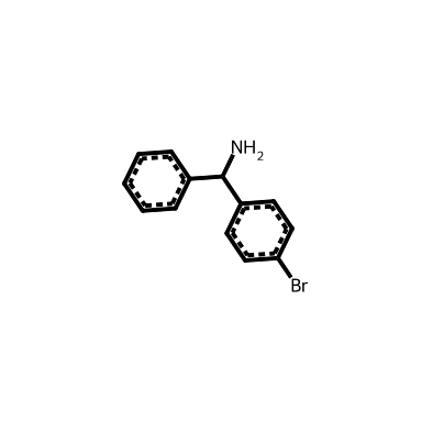 NC(c1ccccc1)c1ccc(Br)cc1